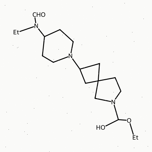 CCOC(O)N1CCC2(CC(N3CCC(N(C=O)CC)CC3)C2)C1